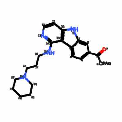 COC(=O)c1ccc2c(c1)[nH]c1ccnc(NCCCN3CCCCC3)c12